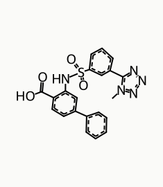 Cn1nnnc1-c1cccc(S(=O)(=O)Nc2cc(-c3ccccc3)ccc2C(=O)O)c1